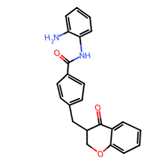 Nc1ccccc1NC(=O)c1ccc(CC2COc3ccccc3C2=O)cc1